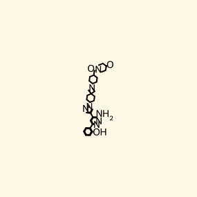 Nc1nnc(-c2ccccc2O)cc1-c1cnn(C2CCC3(CC2)CN(C2CCC(C(=O)N4CCC(=O)CC4)CC2)C3)c1